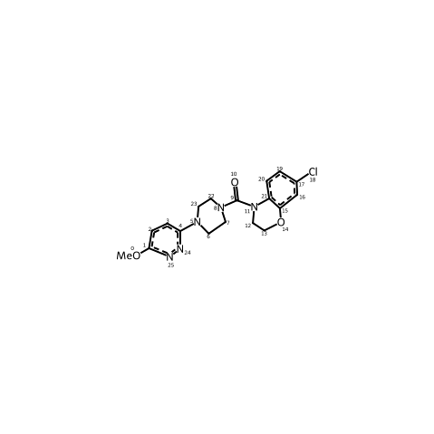 COc1ccc(N2CCN(C(=O)N3CCOc4cc(Cl)ccc43)CC2)nn1